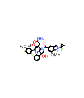 CCOc1c(CC(N)=O)cc([C@@](O)(CNC(=O)c2cc(OC)c3nn(C4(F)CC4)cc3c2)c2ccccc2)nc1-c1cc(C(F)(F)F)c(F)cc1F